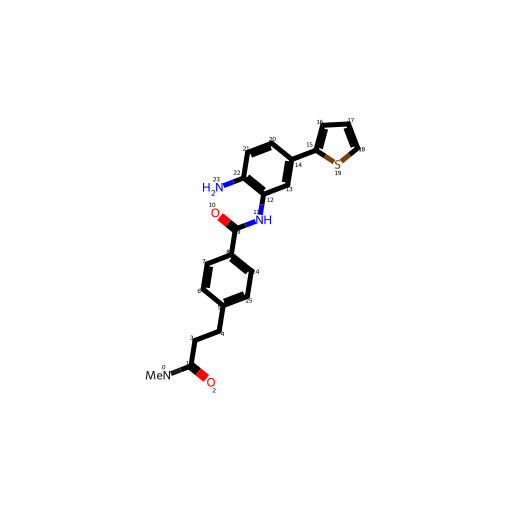 CNC(=O)CCc1ccc(C(=O)Nc2cc(-c3cccs3)ccc2N)cc1